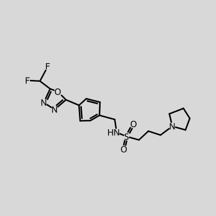 O=S(=O)(CCCN1CCCC1)NCc1ccc(-c2nnc(C(F)F)o2)cc1